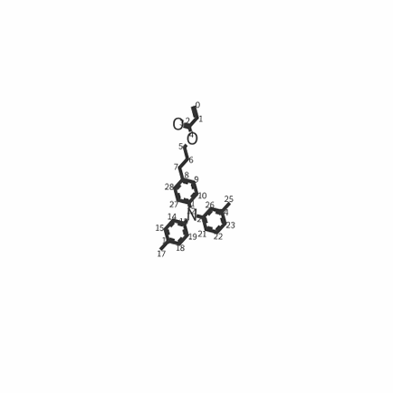 C=CC(=O)OCCCc1ccc(N(c2ccc(C)cc2)c2cccc(C)c2)cc1